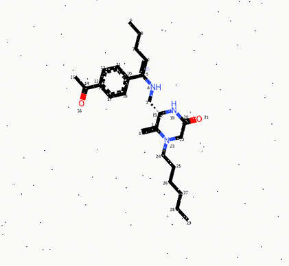 C=C1[C@H](CN/C(=C/CCC)c2ccc(C(C)=O)cc2)NC(=O)CN1CCCCCC